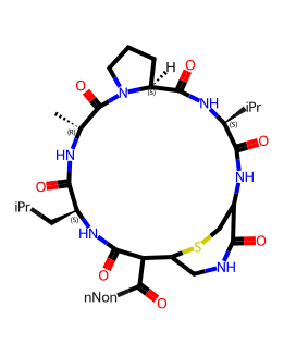 CCCCCCCCCC(=O)C1C(=O)N[C@@H](CC(C)C)C(=O)N[C@H](C)C(=O)N2CCC[C@H]2C(=O)N[C@@H](C(C)C)C(=O)NC2CSC1CNC2=O